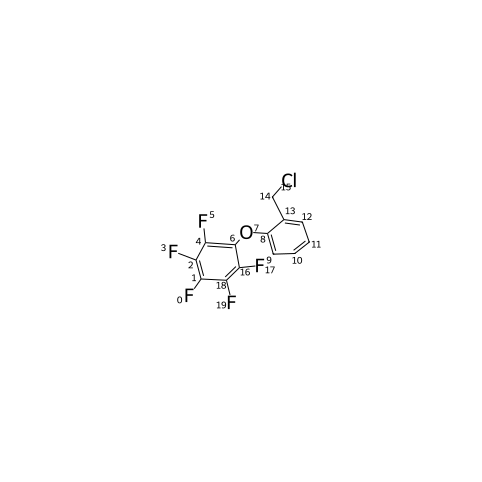 Fc1c(F)c(F)c(Oc2ccccc2CCl)c(F)c1F